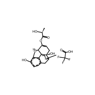 C[C@H](O)C(=O)OC1=CC[C@]2(O)C3Cc4ccc(O)c5c4[C@@]2(CCN3C)[C@H]1O5.O=C(O)C(F)(F)F